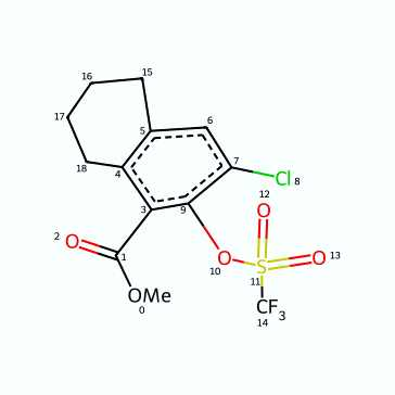 COC(=O)c1c2c(cc(Cl)c1OS(=O)(=O)C(F)(F)F)CCCC2